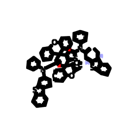 C=C(/C=c1/sc2ccccc2/c1=C/C)N(c1ccccc1)c1cc2c(s1)C1(c3ccccc3Oc3ccccc31)c1cc(N(c3ccccc3)c3ccc4c(c3)sc3ccccc34)sc1C21c2ccccc2Oc2ccccc21